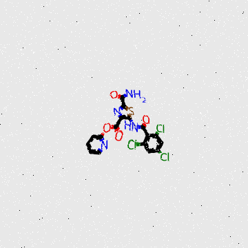 NC(=O)c1nc(C(=O)Oc2ccccn2)c(NC(=O)c2c(Cl)cc(Cl)cc2Cl)s1